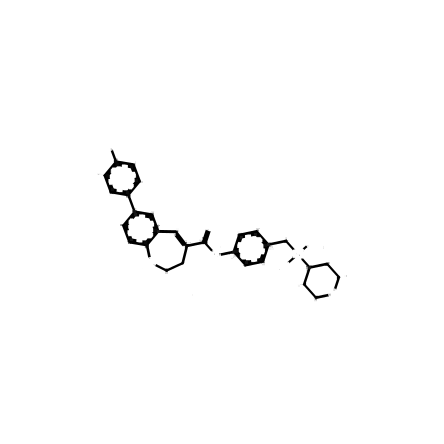 Cc1ccc(-c2ccc3c(c2)C=C(C(=O)Nc2ccc(C[N+](C)(C)C4CCOCC4)cc2)CCO3)cc1.[Cl-]